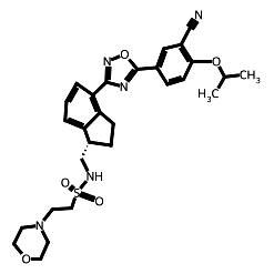 CC(C)Oc1ccc(-c2nc(-c3cccc4c3CC[C@@H]4CNS(=O)(=O)CCN3CCOCC3)no2)cc1C#N